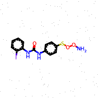 NOOSc1ccc(NC(=O)Nc2ccccc2I)cc1